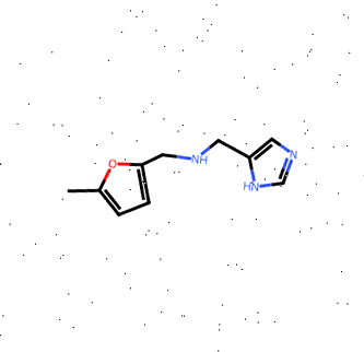 Cc1ccc(CNCc2cnc[nH]2)o1